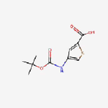 CC(C)(C)OC(=O)Nc1csc(C(=O)O)c1